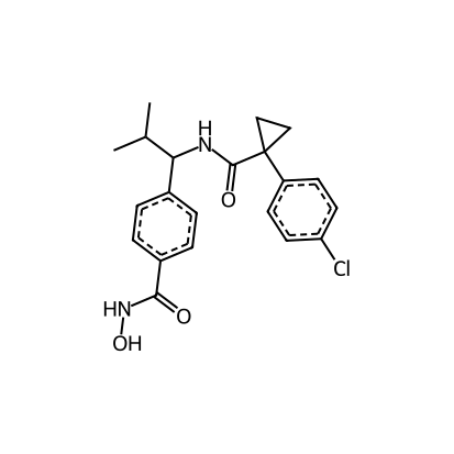 CC(C)C(NC(=O)C1(c2ccc(Cl)cc2)CC1)c1ccc(C(=O)NO)cc1